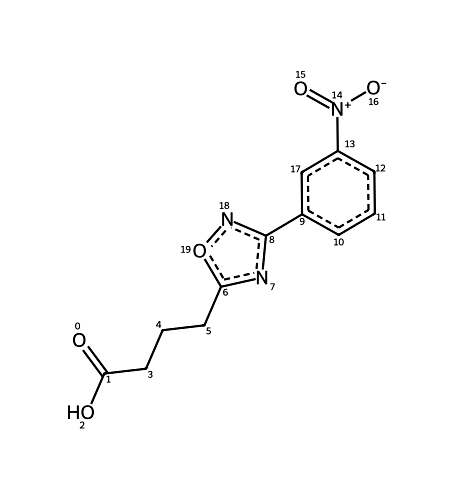 O=C(O)CCCc1nc(-c2cccc([N+](=O)[O-])c2)no1